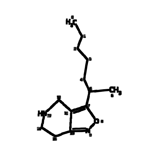 CCCCCC(C)c1onc2c1CNCC2